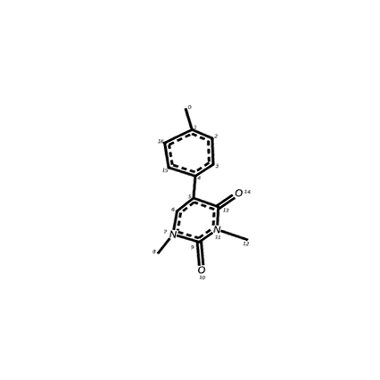 Cc1ccc(-c2cn(C)c(=O)n(C)c2=O)cc1